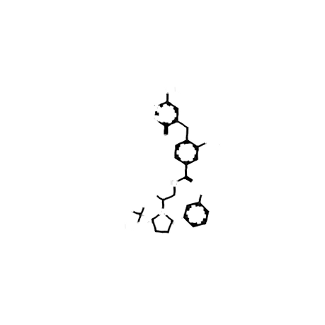 Cc1cc(Cc2ccc(C(=O)NCC(O)N3[C@H](c4cccc(F)c4)CC[C@@H]3C(C)(C)O)cc2C)c(=O)[nH]n1